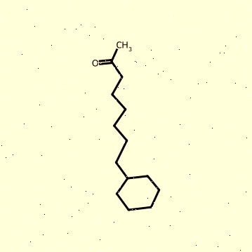 CC(=O)CCCCCCC1CCCCC1